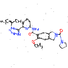 COc1cc2c(cc1C(=O)Nc1cccc(-c3nnnn3C(C)C)n1)CN(C(=O)N1CCCC1)C2